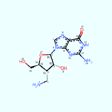 NC[C@H]1[C@@H](O)[C@H](n2cnc3c(=O)[nH]c(N)nc32)O[C@@H]1CO